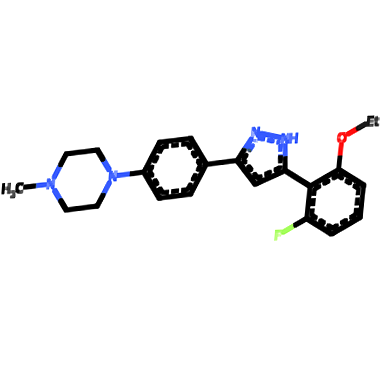 CCOc1cccc(F)c1-c1cc(-c2ccc(N3CCN(C)CC3)cc2)n[nH]1